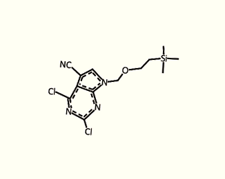 C[Si](C)(C)CCOCn1cc(C#N)c2c(Cl)nc(Cl)nc21